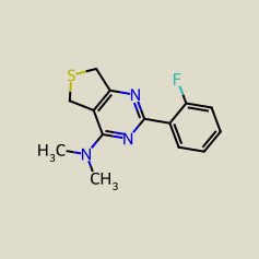 CN(C)c1nc(-c2ccccc2F)nc2c1CSC2